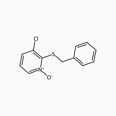 [O-][n+]1cccc(Cl)c1SCc1ccccc1